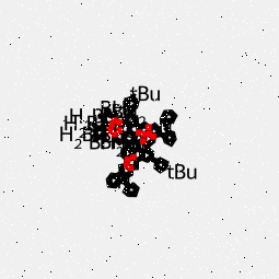 Bc1c(B)c(B)c2c(c1B)c1c(B)c(B)c(B)c(B)c1n2-c1ccc2c(c1)C(c1c(-c3ccccc3)cc(-c3ccc(C(C)(C)C)cc3)cc1-c1ccccc1)c1cc(-c3ccc4c(c3)c3ccccc3n4-c3ccccc3)cc3c1B2c1ccc(-c2ccc4c(c2)c2ccccc2n4-c2ccccc2)cc1N3c1c(-c2ccccc2)cc(-c2ccc(C(C)(C)C)cc2)cc1-c1ccccc1